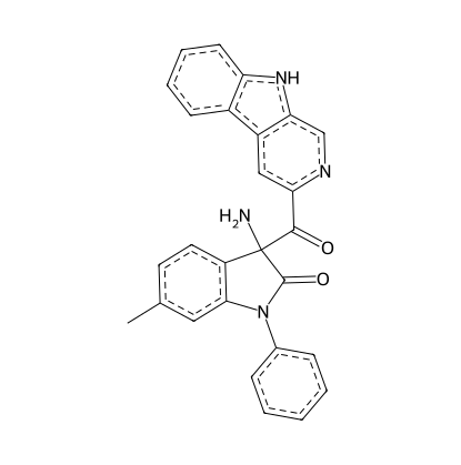 Cc1ccc2c(c1)N(c1ccccc1)C(=O)C2(N)C(=O)c1cc2c(cn1)[nH]c1ccccc12